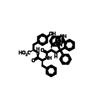 O=C(O)[C@H](Cc1ccc(O)cc1)NC(=O)[C@H](Cc1ccccc1)NC(=O)[C@H](Cc1c[nH]cn1)NC(c1ccccc1)(c1ccccc1)c1ccccc1